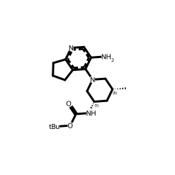 C[C@@H]1C[C@H](NC(=O)OC(C)(C)C)CN(c2c(N)cnc3c2CCC3)C1